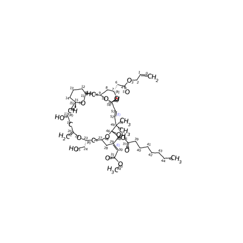 C=CCOC(=O)C[C@H]1CC2C[C@H]3CCC[C@@H](C[C@@H](O)CC(=C)O[C@@H](CO)CC4C/C(=C\C(=O)OC)[C@H](OC(=O)CCCCCCC)C(O)(O4)C(C)(C)/C=C/[C@H](O2)O1)O3